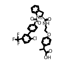 CC(C(=O)O)c1ccc(OCCNC(=O)[C@@H]2Cc3ccccc3N2S(=O)(=O)c2ccc(-c3cc(C(F)(F)F)ccc3Cl)cc2)cc1